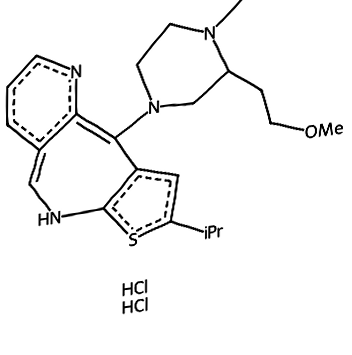 COCCC1CN(C2=c3ncccc3=CNc3sc(C(C)C)cc32)CCN1C.Cl.Cl